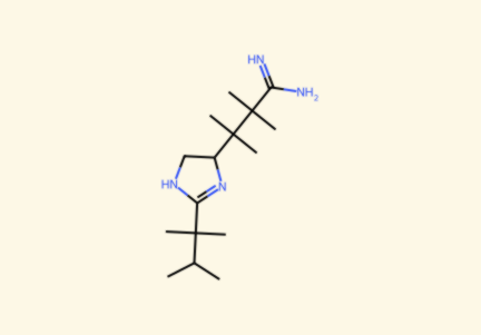 CC(C)C(C)(C)C1=NC(C(C)(C)C(C)(C)C(=N)N)CN1